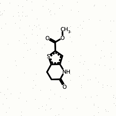 COC(=O)c1cc2c(s1)CCC(=O)N2